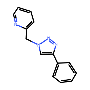 c1ccc(-c2cn(Cc3ccccn3)nn2)cc1